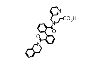 O=C(O)CCN(Cc1cccnc1)C(=O)c1ccccc1-c1ccccc1C(=O)N1CCc2ccccc2C1